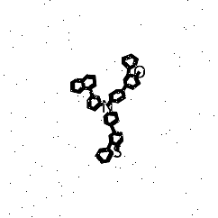 c1cc(-c2cccc3ccccc23)cc(N(c2ccc(-c3ccc4oc5ccccc5c4c3)cc2)c2ccc(-c3ccc4sc5ccccc5c4c3)cc2)c1